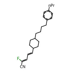 CCCc1ccc(CCCCC2CCC(C=CC=C(F)C#N)CC2)cc1